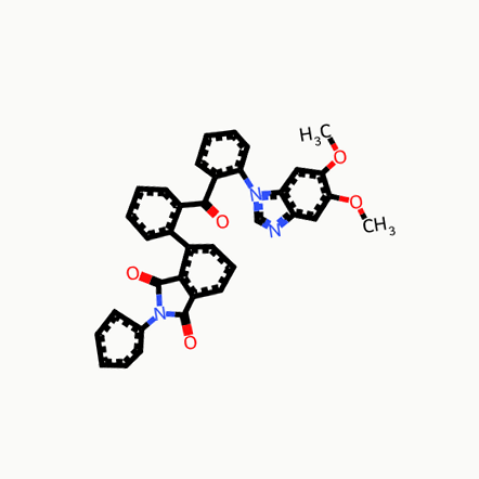 COc1cc2ncn(-c3ccccc3C(=O)c3ccccc3-c3cccc4c3C(=O)N(c3ccccc3)C4=O)c2cc1OC